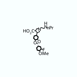 CCCNCCN1CC(C(=O)O)C(c2ccc3c(c2)O[C@H](c2ccc(OC)c(F)c2)O3)C1